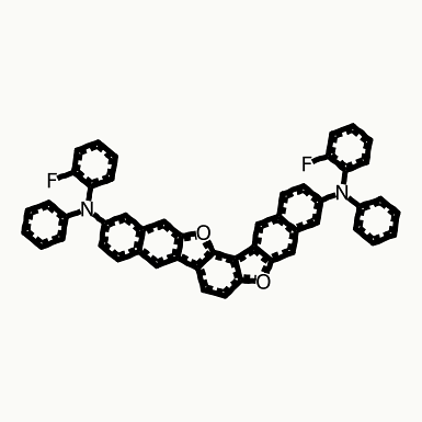 Fc1ccccc1N(c1ccccc1)c1ccc2cc3c(cc2c1)oc1c3ccc2oc3cc4cc(N(c5ccccc5)c5ccccc5F)ccc4cc3c21